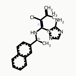 C=C(C)/C(Cl)=C(/N[C@@H](C)c1ccc2ccccc2c1)n1ncnc1N